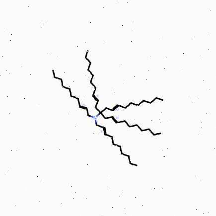 CCCCCCC/C=C/CN(C/C=C/CCCCCCC)C(C/C=C/CCCCCCC)(C/C=C/CCCCCCC)C/C=C/CCCCCCC